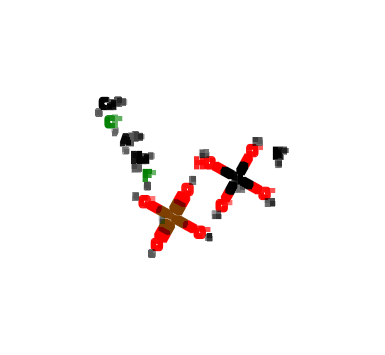 O=S(=O)([O-])[O-].[Al+3].[Ca+2].[Cl-].[F-].[K+].[Na+].[O-][Si]([O-])([O-])O